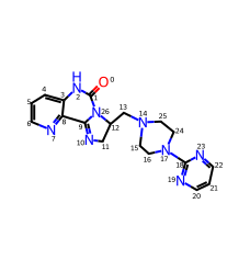 O=C1Nc2cccnc2C2=NCC(CN3CCN(c4ncccn4)CC3)N12